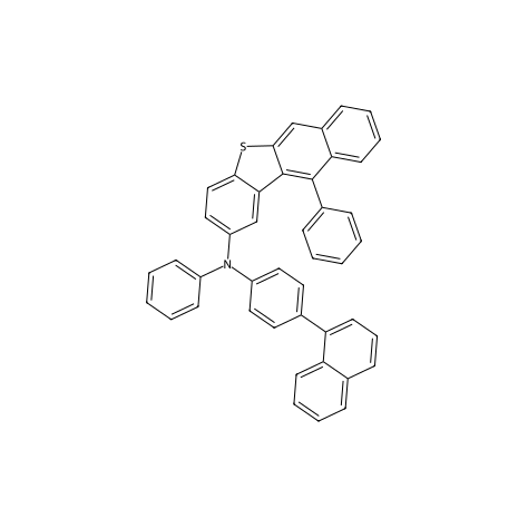 c1ccc(-c2c3ccccc3cc3sc4ccc(N(c5ccccc5)c5ccc(-c6cccc7ccccc67)cc5)cc4c23)cc1